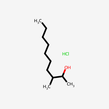 CCCCCCCC(C)C(C)O.Cl